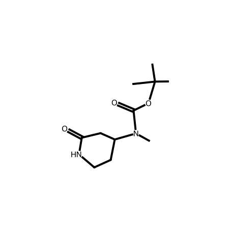 CN(C(=O)OC(C)(C)C)C1CCNC(=O)C1